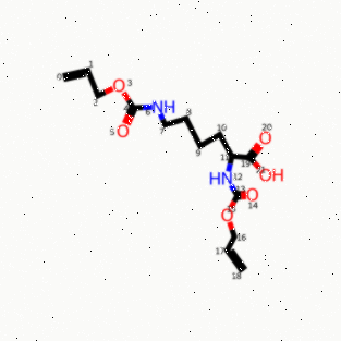 C=CCOC(=O)NCCCCC(NC(=O)OCC=C)C(=O)O